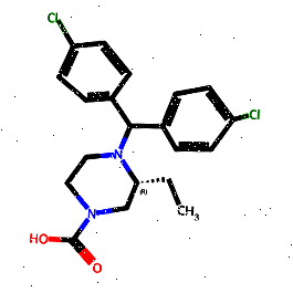 CC[C@@H]1CN(C(=O)O)CCN1C(c1ccc(Cl)cc1)c1ccc(Cl)cc1